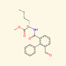 COC(=O)[C@H](CCSC)NC(=O)c1cccc(C=O)c1-c1ccccc1